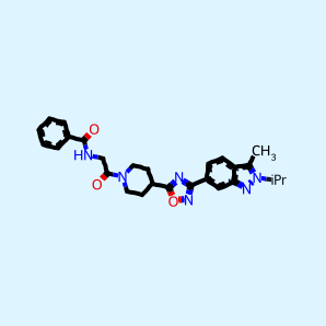 Cc1c2ccc(-c3noc(C4CCN(C(=O)CNC(=O)c5ccccc5)CC4)n3)cc2nn1C(C)C